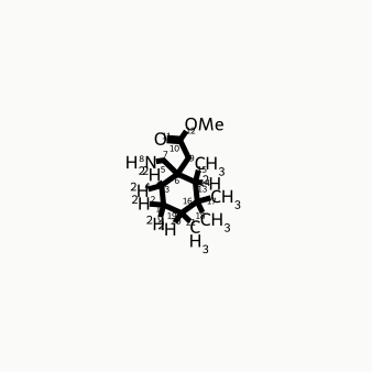 [2H]C1([2H])C([2H])([2H])C(CN)(CC(=O)OC)C([2H])(C)C(C)(C)C1([2H])C